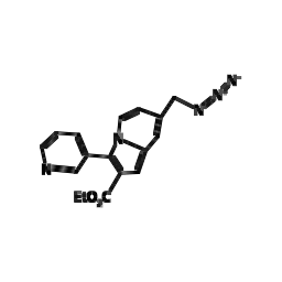 CCOC(=O)c1cc2cc(CN=[N+]=[N-])ccn2c1-c1cccnc1